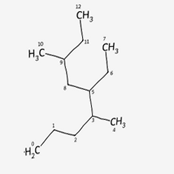 [CH2]CCC(C)C(CC)CC(C)CC